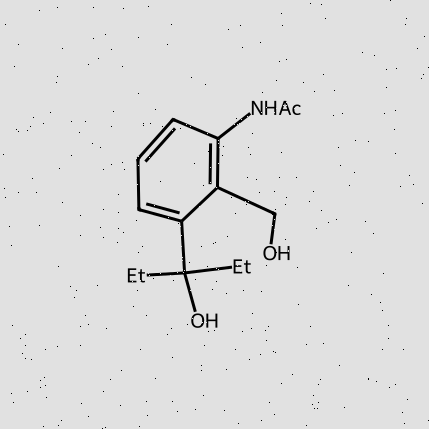 CCC(O)(CC)c1cccc(NC(C)=O)c1CO